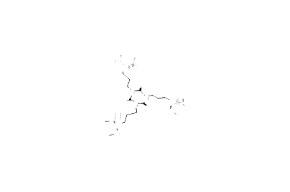 CO[SiH](CCCn1c(=O)n(CCC[SiH](OC)OC)c(=O)n(CCC[SiH](OC)OC)c1=O)OC